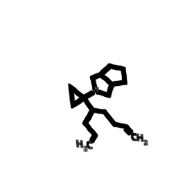 C=CCCC(CCC)C1(N2CC3CCCC3C2)CC1